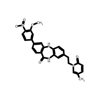 COc1cc(-c2ccc3c(c2)Nc2ccc(CCn4cc(C)ccc4=O)cc2NC3=O)ccc1[N+](=O)[O-]